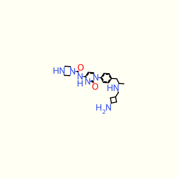 CC(Cc1ccc(-n2ccc(NC(=O)N3CCNCC3)nc2=O)cc1)NCC1CC(N)C1